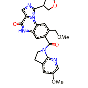 COCc1cc2c(cc1C(=O)N1CCc3cc(OC)cnc31)[nH]c(=O)c1cnc(C3CCOC3)n12